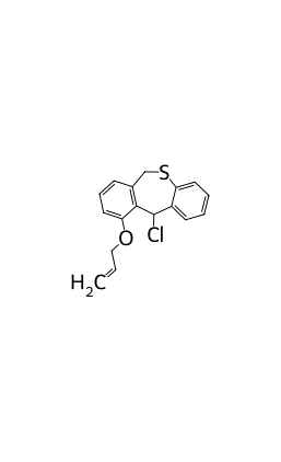 C=CCOc1cccc2c1C(Cl)c1ccccc1SC2